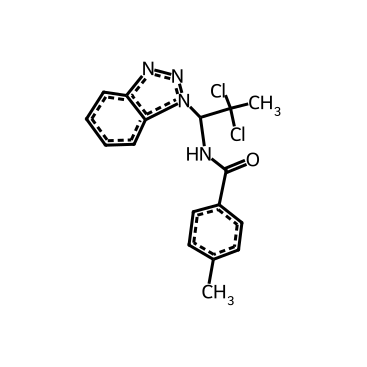 Cc1ccc(C(=O)NC(n2nnc3ccccc32)C(C)(Cl)Cl)cc1